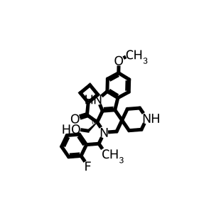 COc1ccc2c3c([nH]c2c1)[C@@](CO)(C(=O)C1CCC1)N(C(C)c1ccccc1F)CC31CCNCC1